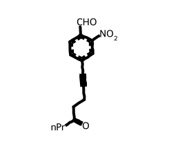 CCCC(=O)CCC#Cc1ccc(C=O)c([N+](=O)[O-])c1